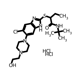 CCC(Sc1nc2cc(Cl)c(N3CCN(CCO)CC3)cc2[nH]1)C(=O)NC(C)(C)C.Cl.Cl